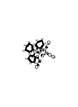 O=C=NOP(ON=C=O)(ON=C=O)=[SH](c1ccccc1)(c1ccccc1)c1ccccc1